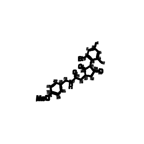 CCc1cc(C)cc(C)c1C1C(=O)CC(CC(=O)NCc2ccc(OC)cc2)C1=O